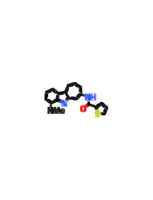 CNc1cccc2c3cccc(NC(=O)c4cccs4)cc-3nc12